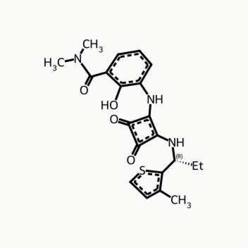 CC[C@@H](Nc1c(Nc2cccc(C(=O)N(C)C)c2O)c(=O)c1=O)c1sccc1C